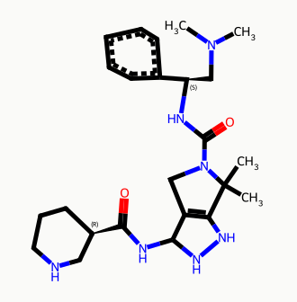 CN(C)C[C@@H](NC(=O)N1CC2=C(NNC2NC(=O)[C@@H]2CCCNC2)C1(C)C)c1ccccc1